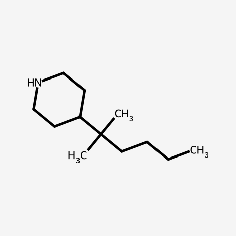 CCCCC(C)(C)C1CCNCC1